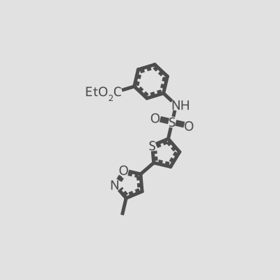 CCOC(=O)c1cccc(NS(=O)(=O)c2ccc(-c3cc(C)no3)s2)c1